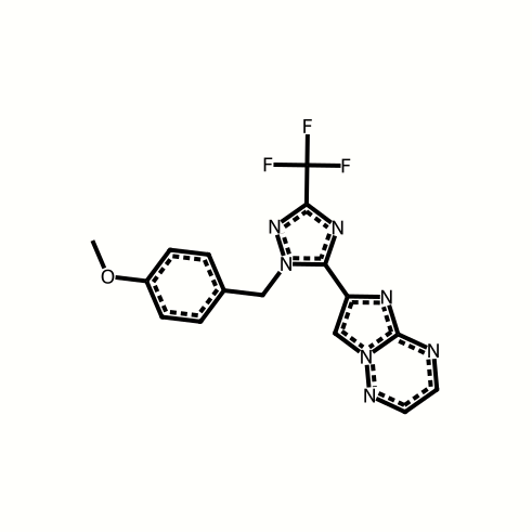 COc1ccc(Cn2nc(C(F)(F)F)nc2-c2cn3nccnc3n2)cc1